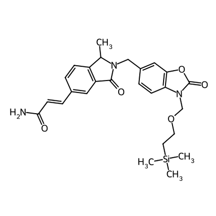 CC1c2ccc(C=CC(N)=O)cc2C(=O)N1Cc1ccc2c(c1)oc(=O)n2COCC[Si](C)(C)C